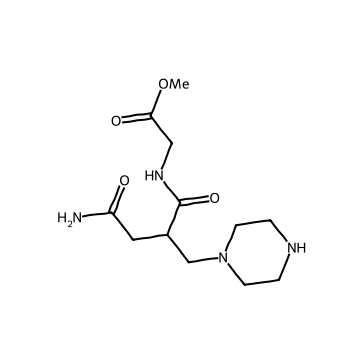 COC(=O)CNC(=O)C(CC(N)=O)CN1CCNCC1